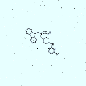 CN(C)c1ccnc(NC2CCC(CN(CC3c4ccccc4-c4ccccc43)C(=O)O)CC2)n1